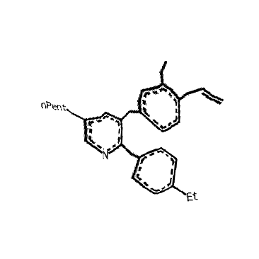 C=Cc1ccc(-c2cc(CCCCC)cnc2-c2ccc(CC)cc2)cc1C